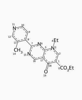 CCOC(=O)c1cn(CC)c2nc(-c3ccncc3C)ncc2c1=O